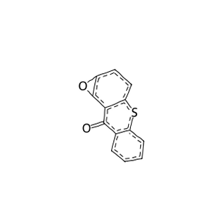 O=c1c2ccccc2sc2ccc3c(c12)O3